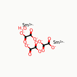 O.O=C([O-])C(=O)[O-].O=C([O-])C(=O)[O-].O=C([O-])C(=O)[O-].[Sm+3].[Sm+3]